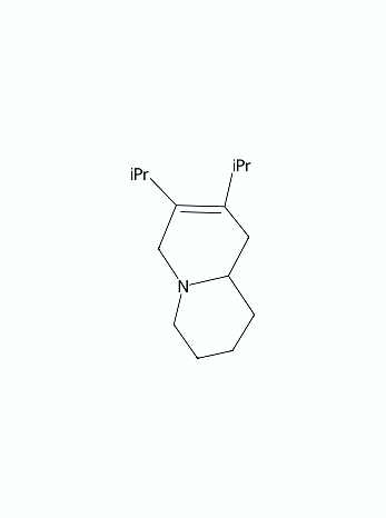 CC(C)C1=C(C(C)C)CN2CCCCC2C1